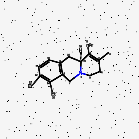 CCCC1=C(C)CCN2Cc3c(ccc(CC)c3CC)C[C@@H]12